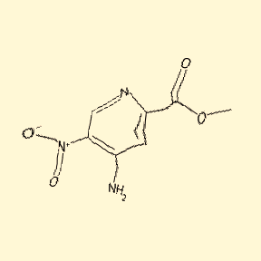 COC(=O)c1cc(N)c([N+](=O)[O-])cn1